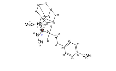 COC(=O)C12CC3CC(C1)C(N/C(=N/C#N)C(C)(C)OCc1ccc(OC)cc1)C(C3)C2